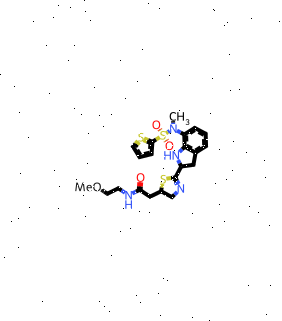 COCCNC(=O)CC1CN=C(C2Cc3cccc(N(C)S(=O)(=O)c4cccs4)c3N2)S1